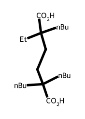 CCCCC(CC)(CCC(CCCC)(CCCC)C(=O)O)C(=O)O